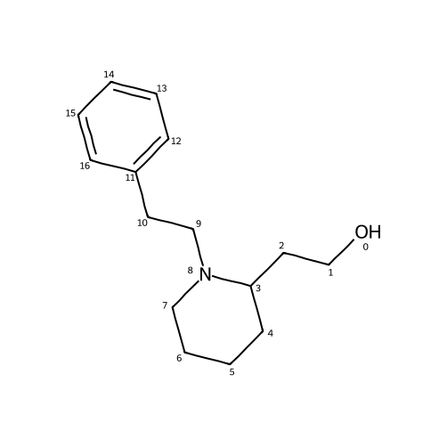 OCCC1CCCCN1CCc1ccccc1